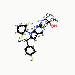 CC(=O)OC(c1ccc(F)cc1)c1cc2cnc(N[C@@H](C)C(C)(C)O)nc2n1-c1c(F)cccc1F